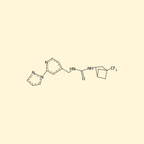 O=C(NCc1ccnc(-n2cccn2)c1)NC1CC2(C(F)(F)F)CC1C2